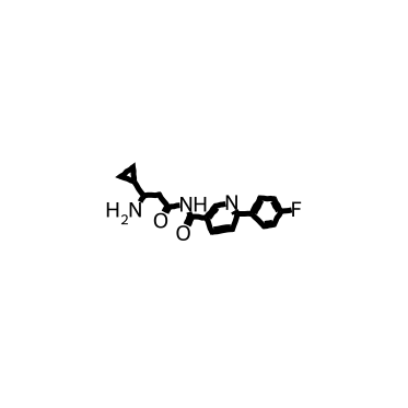 NC(CC(=O)NC(=O)c1ccc(-c2ccc(F)cc2)nc1)C1CC1